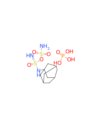 N=S(=O)(NC12CC3CC(CC(C3)C1)C2)OS(N)(=O)=O.O=P(O)(O)O